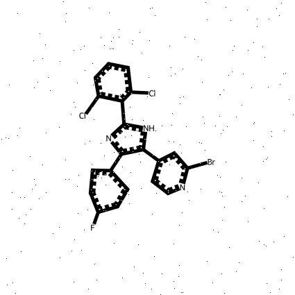 Fc1ccc(-c2nc(-c3c(Cl)cccc3Cl)[nH]c2-c2ccnc(Br)c2)cc1